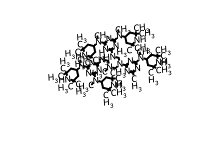 Cc1nc(N(CNc2nc(N(C)C3CC(C)(C)NC(C)(C)C3)nc(N(C)C3CC(C)(C)NC(C)(C)C3)n2)CN(C)CNc2nc(N(C)C3CC(C)(C)NC(C)(C)C3)nc(N(C)C3CC(C)(C)NC(C)(C)C3)n2)nc(N(C)C2CC(C)(C)NC(C)(C)C2)n1